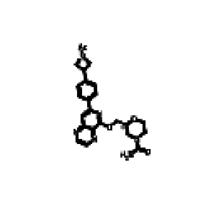 CC(=O)N1CC(c2ccc(-c3cc4nccnc4c(OC[C@@H]4CN(C(N)=O)CCO4)n3)cc2)C1